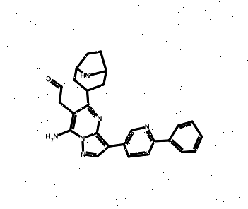 Nc1c(CC=O)c(C2CC3CCC(C2)N3)nc2c(-c3ccc(-c4ccccc4)nc3)cnn12